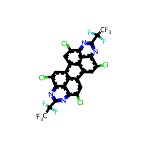 FC(F)(F)C(F)(F)c1nc2c(Cl)cc3c4cc(Cl)c5nc(C(F)(F)C(F)(F)F)nc6c(Cl)cc(c7cc(Cl)c(n1)c2c37)c4c56